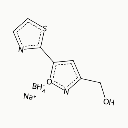 OCc1cc(-c2nccs2)on1.[BH4-].[Na+]